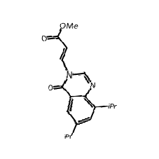 COC(=O)C=Cn1cnc2c(C(C)C)cc(C(C)C)cc2c1=O